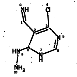 N=CC1=C(Cl)N=CNC1NN